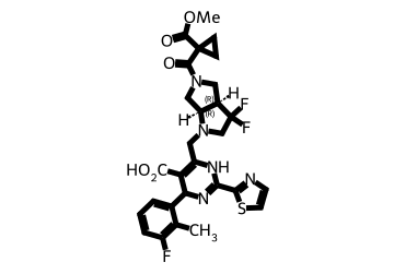 COC(=O)C1(C(=O)N2C[C@@H]3[C@H](C2)N(CC2=C(C(=O)O)C(c4cccc(F)c4C)N=C(c4nccs4)N2)CC3(F)F)CC1